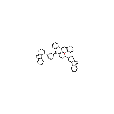 c1cc(-c2cccc3sc4ccccc4c23)cc(N(c2ccc(-c3ccc4oc5ccccc5c4c3)cc2)c2ccccc2-c2ccc3ccccc3c2)c1